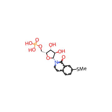 CSc1ccc2ccn([C@@H]3O[C@H](COP(=O)(O)O)[C@H](O)[C@H]3O)c(=O)c2c1